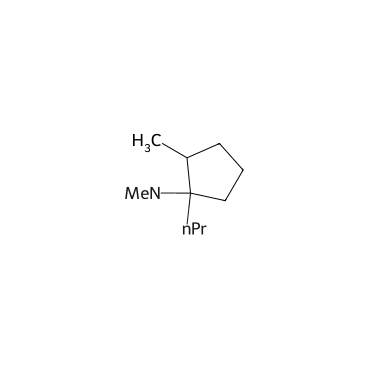 CCCC1(NC)CCCC1C